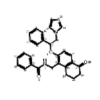 O=C(NCc1c(O[C@H](Cn2ccnc2)c2ccccc2)ccc2c1CCCC2=O)c1ccccc1